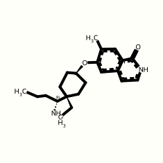 CCC[C@@H](N)[C@]1(CC)CC[C@@H](Oc2cc3cc[nH]c(=O)c3cc2C)CC1